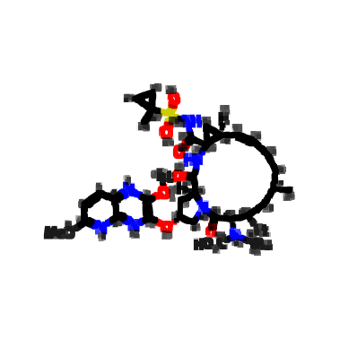 CCOc1nc2ccc(OC)nc2nc1O[C@@H]1C[C@H]2C(=O)N[C@]3(C(=O)NS(=O)(=O)C4(C)CC4)C[C@H]3/C=C\CC[C@@H](C)C[C@@H](CC)[C@H](N(C(=O)O)C(C)(C)C)C(=O)N2C1